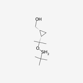 CC(C)(C)[SiH2]OC(C)(C)[C@H]1C[C@H]1CO